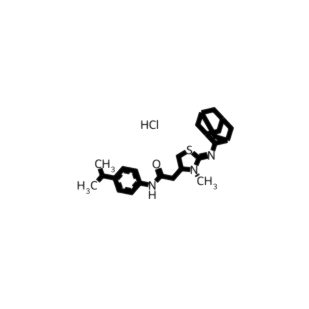 CC(C)c1ccc(NC(=O)CC2CSC(=NC3C4CC5CC(C4)CC3C5)N2C)cc1.Cl